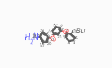 CCCCc1c[c]ccc1Oc1cccc(Oc2ccc(N)cc2)c1